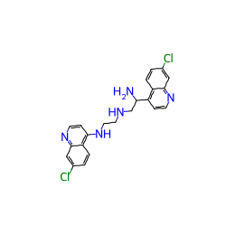 NC(CNCCNc1ccnc2cc(Cl)ccc12)c1ccnc2cc(Cl)ccc12